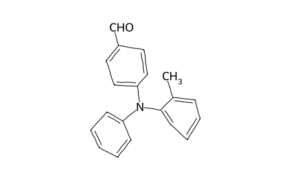 Cc1ccccc1N(c1ccccc1)c1ccc(C=O)cc1